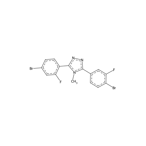 Cn1c(-c2ccc(Br)c(F)c2)nnc1-c1ccc(Br)cc1F